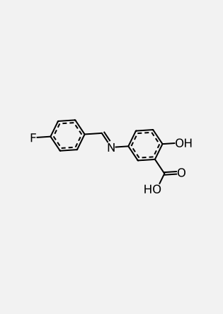 O=C(O)c1cc(/N=C/c2ccc(F)cc2)ccc1O